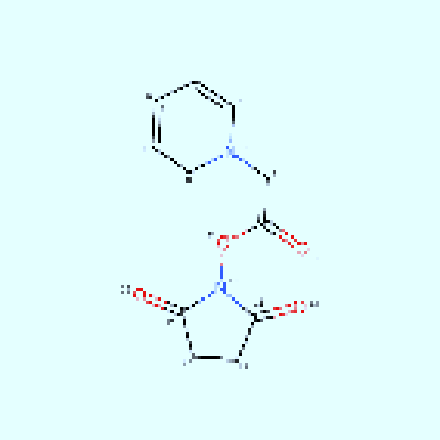 O=C(CN1C=CC=CC1)ON1C(=O)CCC1=O